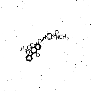 C=NC(=O)N1CCN(CCOc2ccc3c(c2)C(C)(C)c2oc4ccccc4c2C3=O)CC1